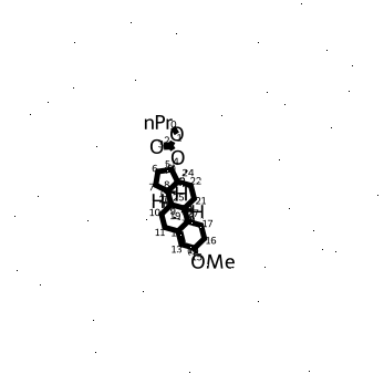 CCCOC(=O)O[C@H]1CC[C@H]2[C@@H]3CCC4=C[C@H](OC)CC[C@]4(C)[C@H]3CC[C@]12C